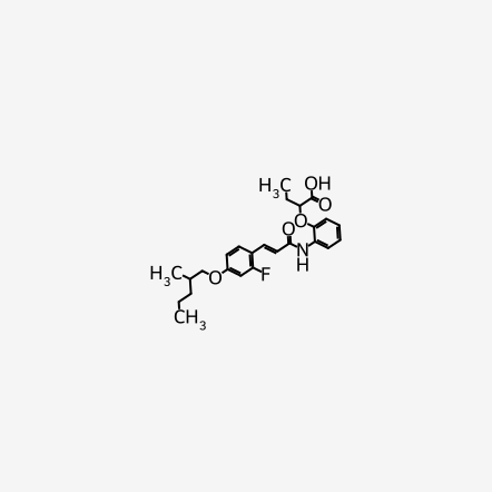 CCCC(C)COc1ccc(C=CC(=O)Nc2ccccc2OC(CC)C(=O)O)c(F)c1